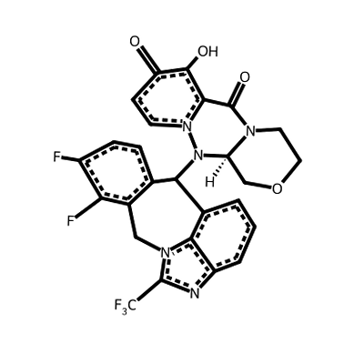 O=C1c2c(O)c(=O)ccn2N(C2c3ccc(F)c(F)c3Cn3c(C(F)(F)F)nc4cccc2c43)[C@@H]2COCCN12